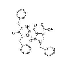 C[C@@H](N[C@@H](Cc1ccccc1)C(=O)OCc1ccccc1)C(=O)N1C(=O)N(Cc2ccccc2)C[C@H]1C(=O)O